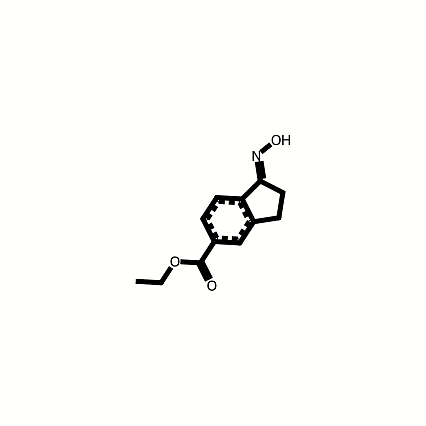 CCOC(=O)c1ccc2c(c1)CCC2=NO